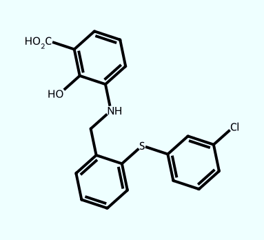 O=C(O)c1cccc(NCc2ccccc2Sc2cccc(Cl)c2)c1O